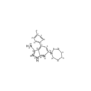 Cc1ccc(-c2cc(N3CCCCCC3)nc3[nH]nc(N)c23)cc1